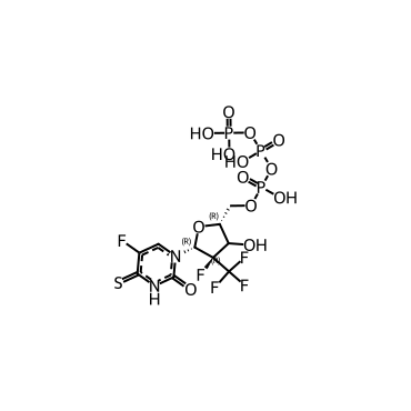 O=c1[nH]c(=S)c(F)cn1[C@@H]1O[C@H](COP(=O)(O)OP(=O)(O)OP(=O)(O)O)C(O)[C@]1(F)C(F)(F)F